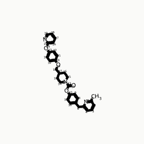 Cc1cccc(Cc2ccc(OC(=O)N3CCC(COc4ccc(Oc5ccccn5)cc4)CC3)cc2)n1